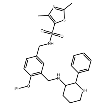 Cc1nc(C)c(S(=O)(=O)NCc2ccc(OC(C)C)c(CNC3CCCNC3c3ccccc3)c2)s1